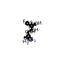 COc1cc(C(=O)NCC(O)c2cc(C(C)(C)O)c(F)c(-c3ccc(F)cc3)n2)cc(/C=C(/C)N)c1N